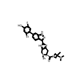 CCc1cc(O)c(F)cc1-c1ccc2c(-c3nc4c([nH]3)CN(C(C)C)[C@H](C(=O)N3CC(C)(N(C)C)C3)C4)n[nH]c2c1